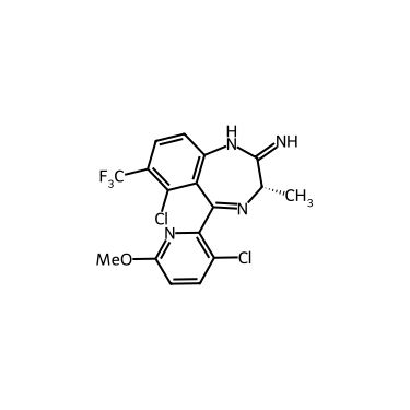 COc1ccc(Cl)c(C2=N[C@@H](C)C(=N)Nc3ccc(C(F)(F)F)c(Cl)c32)n1